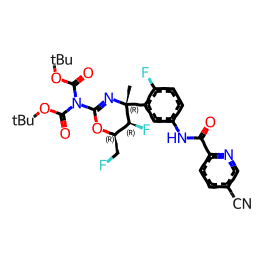 CC(C)(C)OC(=O)N(C(=O)OC(C)(C)C)C1=N[C@](C)(c2cc(NC(=O)c3ccc(C#N)cn3)ccc2F)[C@@H](F)[C@@H](CF)O1